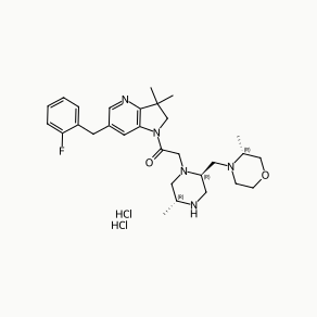 C[C@@H]1CN(CC(=O)N2CC(C)(C)c3ncc(Cc4ccccc4F)cc32)[C@@H](CN2CCOC[C@H]2C)CN1.Cl.Cl